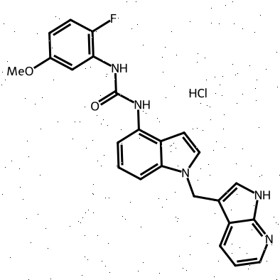 COc1ccc(F)c(NC(=O)Nc2cccc3c2ccn3Cc2c[nH]c3ncccc23)c1.Cl